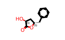 O=C1O[C@@H](Cc2ccccc2)C[C@@H]1O